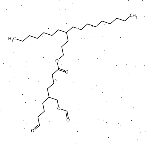 CCCCCCCCCC(CCCCCCC)CCCOC(=O)CCCC(CCCC=O)COC=O